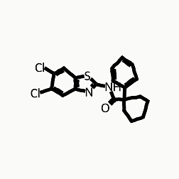 O=C(Nc1nc2cc(Cl)c(Cl)cc2s1)C1(c2ccccc2)CCCCC1